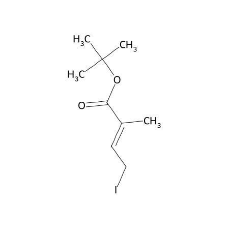 C/C(=C\CI)C(=O)OC(C)(C)C